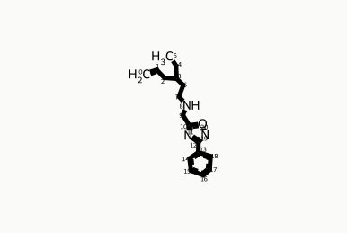 C=CCC(CC)CCNCc1nc(-c2ccccc2)no1